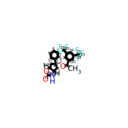 C[C@@H](OC[C@]1(c2ccccc2)C[C@@H]2NC(=O)O[C@@H]2C1)c1cc(C(F)(F)F)cc(C(F)(F)F)c1